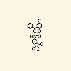 O=C(COc1ccc(Cl)cc1C(=O)c1ccccc1)Nc1ccc2c(c1)C(=O)NC2=O